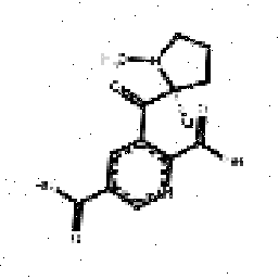 CN1CCC[C@@]1(C)C(=O)c1cc(C(=O)O)cnc1C(=O)O